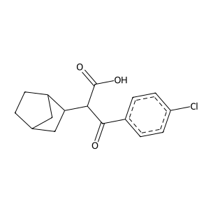 O=C(O)C(C(=O)c1ccc(Cl)cc1)C1CC2CCC1C2